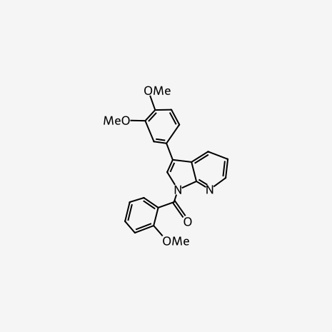 COc1ccc(-c2cn(C(=O)c3ccccc3OC)c3ncccc23)cc1OC